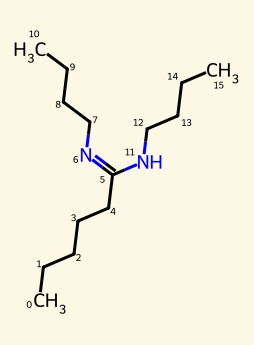 CCCCCC(=NCCCC)NCCCC